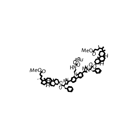 COC(=O)CC[C@@H](C)C(C)C1(C)CCC2[C@@H](CC[C@H]3C[C@H](OC(=O)[C@H](Cc4ccccc4)n4cc(-c5ccc6c7ccc(C8=CC([C@@H](Cc9ccccc9)C(=O)O[C@@H]9CCC%10(C)C(CC[C@@H]%11C%10CCC%10(C)C([C@H](C)CCC(=O)OC)CC[C@@H]%11%10)C9)N=N8)cc7n(CCNC(=O)OC(C)(C)C)c6c5)nn4)CCC23C)C1